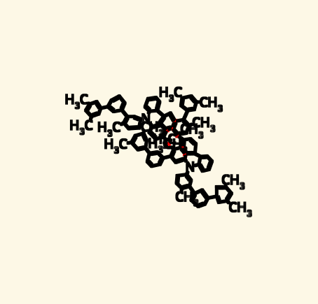 Cc1cc(C)cc(-c2cccc(-c3cc(N(c4ccc(C)c(-c5cccc(-c6cc(C)cc(C)c6)c5)c4)c4ccccc4-c4ccc(C(C)(C)c5ccc(-c6ccccc6N(c6ccc(C)c(-c7cccc(-c8cc(C)cc(C)c8)c7)c6)c6ccc(C)c(-c7ccc(C)c(-c8cc(C)cc(C)c8)c7)c6)cc5)cc4)ccc3C)c2)c1